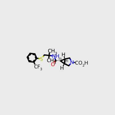 CC(C)(CSc1ccccc1C(F)(F)F)NC(=O)[C@@H]1[C@@H]2CN(C(=O)O)C[C@@H]21